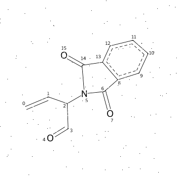 C=CC(C=O)N1C(=O)c2ccccc2C1=O